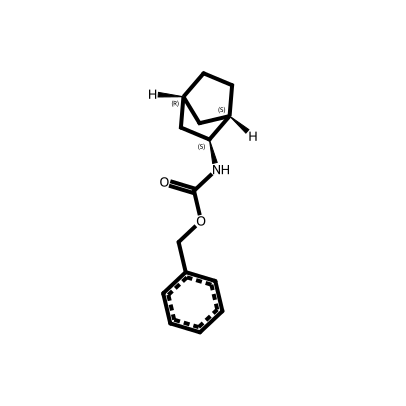 O=C(N[C@H]1C[C@@H]2CC[C@H]1C2)OCc1ccccc1